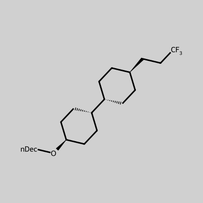 CCCCCCCCCCO[C@H]1CC[C@H]([C@H]2CC[C@H](CCC(F)(F)F)CC2)CC1